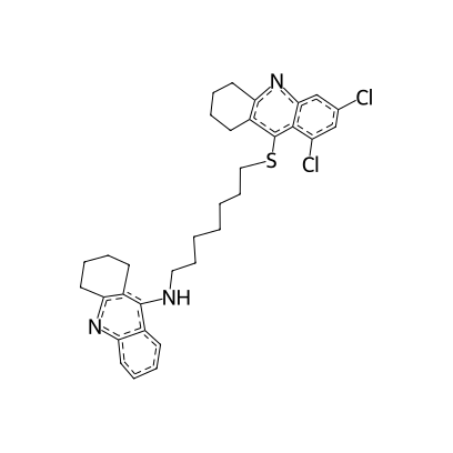 Clc1cc(Cl)c2c(SCCCCCCCNc3c4c(nc5ccccc35)CCCC4)c3c(nc2c1)CCCC3